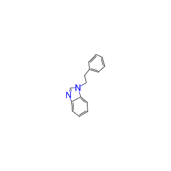 c1ccc(CCn2cnc3ccccc32)cc1